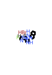 Br.CC(Nc1nccc2ccccc12)N1CCNCC1c1ncc(F)cn1